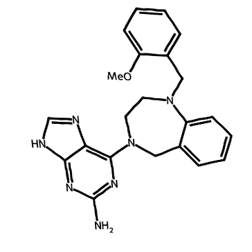 COc1ccccc1CN1CCN(c2nc(N)nc3[nH]cnc23)Cc2ccccc21